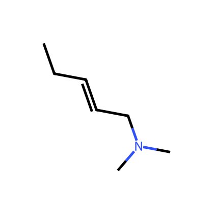 CC/C=C/CN(C)C